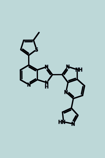 Cc1ccc(-c2ccnc3[nH]c(-c4n[nH]c5ccc(-c6cn[nH]c6)nc45)nc23)s1